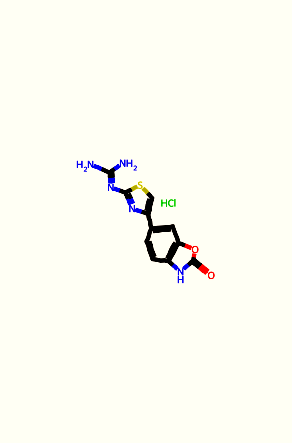 Cl.NC(N)=Nc1nc(-c2ccc3[nH]c(=O)oc3c2)cs1